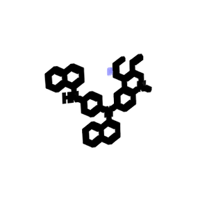 C=CC1=C(/C=C\C)c2cc(N(c3ccc(Nc4cccc5ccccc45)cc3)c3cccc4ccccc34)ccc2N(C)C1